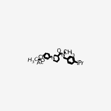 CC(=O)C(C)(C)Oc1cccc(N2CCCC(C(=O)N(C)Cc3ccc(C(C)C)cc3)C2)c1